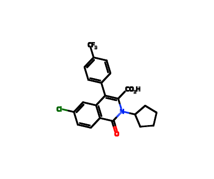 O=C(O)c1c(-c2ccc(C(F)(F)F)cc2)c2cc(Cl)ccc2c(=O)n1C1CCCC1